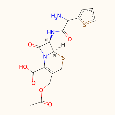 CC(=O)OCC1=C(C(=O)O)N2C(=O)[C@@H](NC(=O)C(N)c3cccs3)[C@H]2SC1